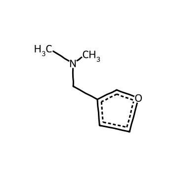 CN(C)Cc1ccoc1